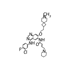 CN1CCC2(CC1)CC(CCOc1cc3ncnc(Nc4ccc(F)c(Cl)c4)c3cc1NC(=O)/C=C/CN1CCCCC1)C2